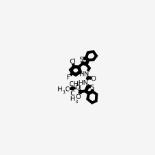 CC(C)(C)OC(=O)c1c(NC(=O)NCc2c(-c3ccc(F)cc3Cl)sc3c2CCCC3)sc2c1CCCC2